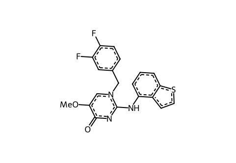 COc1cn(Cc2ccc(F)c(F)c2)c(Nc2cccc3sccc23)nc1=O